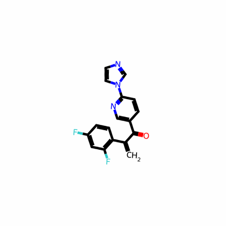 C=C(C(=O)c1ccc(-n2ccnc2)nc1)c1ccc(F)cc1F